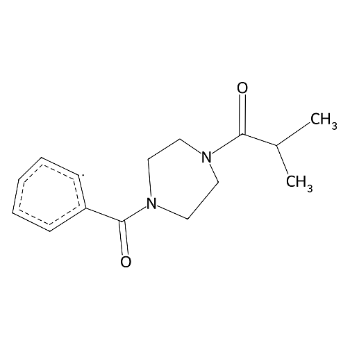 CC(C)C(=O)N1CCN(C(=O)c2[c]cccc2)CC1